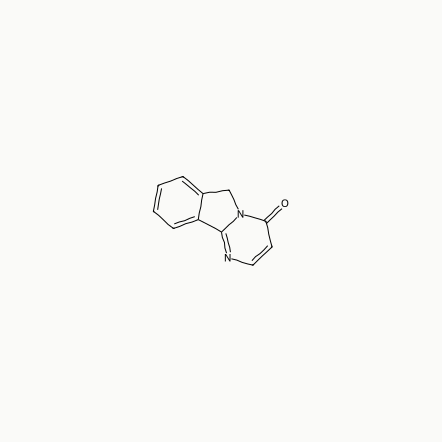 O=c1ccnc2n1Cc1ccccc1-2